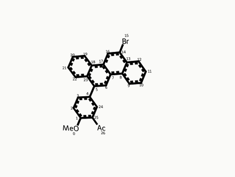 COc1ccc(-c2cc3c4ccccc4c(Br)cc3c3ccccc23)cc1C(C)=O